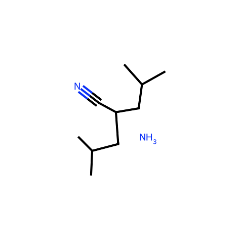 CC(C)CC(C#N)CC(C)C.N